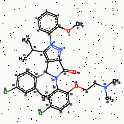 COc1ccccc1-n1nc2c(c1C(C)C)[C@@H](c1ccc(Cl)cc1C)N(c1cc(Cl)ccc1OCCN(C)C)C2=O